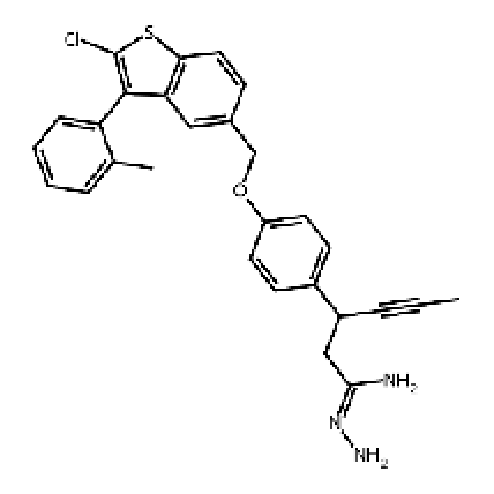 CC#CC(C/C(N)=N/N)c1ccc(OCc2ccc3sc(Cl)c(-c4ccccc4C)c3c2)cc1